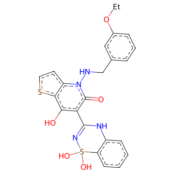 CCOc1cccc(CNn2c(=O)c(C3=NS(O)(O)c4ccccc4N3)c(O)c3sccc32)c1